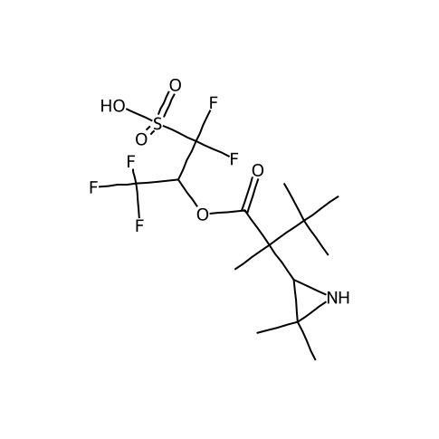 CC1(C)NC1C(C)(C(=O)OC(C(F)(F)F)C(F)(F)S(=O)(=O)O)C(C)(C)C